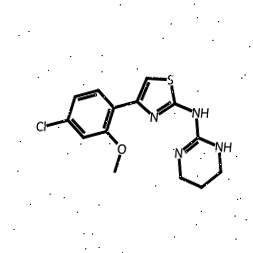 COc1cc(Cl)ccc1-c1csc(NC2=NCCCN2)n1